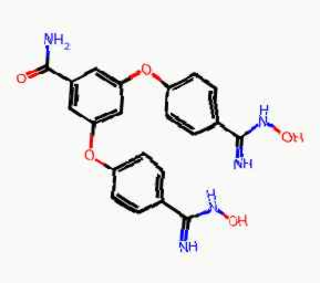 N=C(NO)c1ccc(Oc2cc(Oc3ccc(C(=N)NO)cc3)cc(C(N)=O)c2)cc1